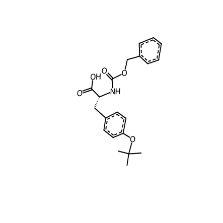 CC(C)(C)Oc1ccc(C[C@@H](NC(=O)OCc2ccccc2)C(=O)O)cc1